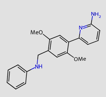 COc1cc(-c2cccc(N)n2)c(OC)cc1CNc1ccccc1